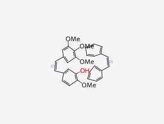 C(=C/c1ccccc1)/c1ccccc1.COc1ccc(/C=C\c2cc(OC)c(OC)c(OC)c2)cc1O